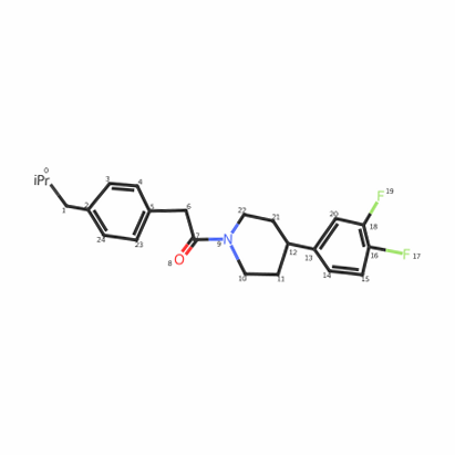 CC(C)Cc1ccc(CC(=O)N2CCC(c3ccc(F)c(F)c3)CC2)cc1